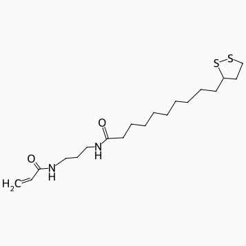 C=CC(=O)NCCCNC(=O)CCCCCCCCCC1CCSS1